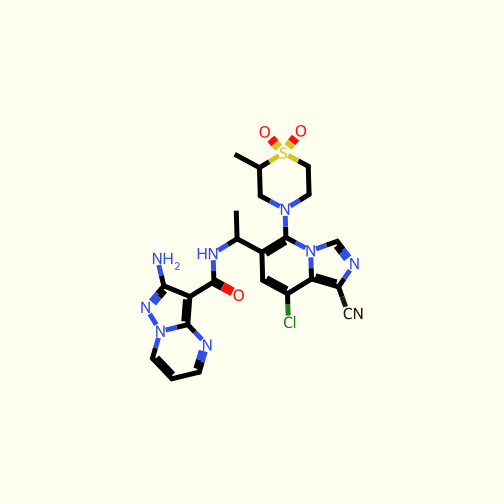 CC(NC(=O)c1c(N)nn2cccnc12)c1cc(Cl)c2c(C#N)ncn2c1N1CCS(=O)(=O)C(C)C1